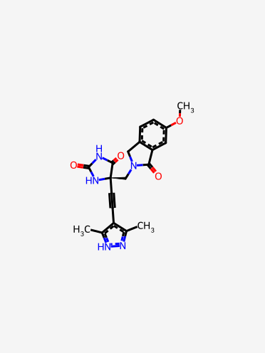 COc1ccc2c(c1)C(=O)N(C[C@@]1(C#Cc3c(C)n[nH]c3C)NC(=O)NC1=O)C2